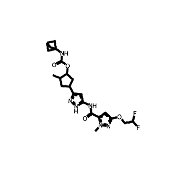 CC1CC(c2cc(NC(=O)c3cc(OCC(F)F)nn3C)[nH]n2)CC1OC(=O)NC12CC(C1)C2